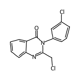 O=c1c2ccccc2nc(CCl)n1-c1cccc(Cl)c1